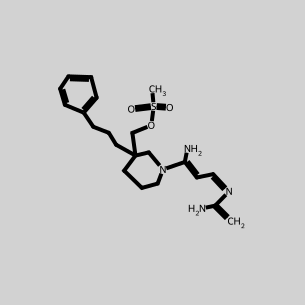 C=C(N)/N=C\C=C(/N)N1CCCC(CCCc2ccccc2)(COS(C)(=O)=O)C1